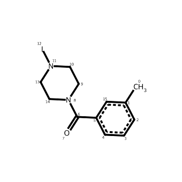 Cc1cccc(C(=O)N2CCN(I)CC2)c1